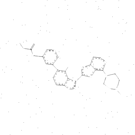 CN1CCN(c2nccc3[nH]c(-c4n[nH]c5ccc(-c6cncc(NC(=O)CC(C)(C)C)c6)c(F)c45)nc23)CC1